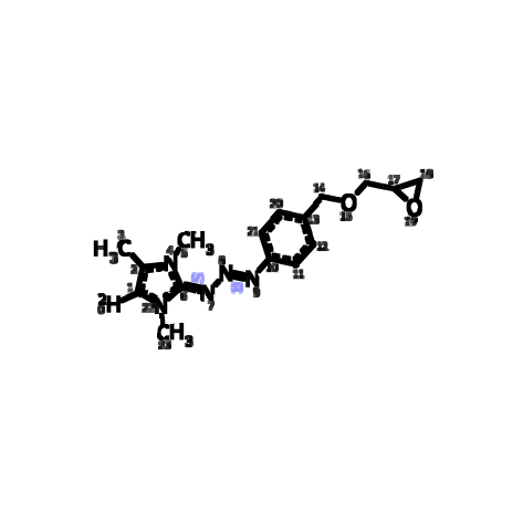 [2H]c1c(C)n(C)/c(=N\N=N\c2ccc(COCC3CO3)cc2)n1C